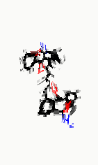 NC(=O)c1cccc(CCCCCCc2cccc(C(N)=O)c2C(=O)c2ccccc2)c1C(=O)c1ccccc1